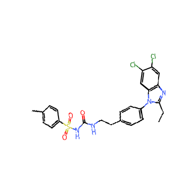 CCc1nc2cc(Cl)c(Cl)cc2n1-c1ccc(CCNC(=O)NS(=O)(=O)c2ccc(C)cc2)cc1